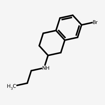 CCCNC1CCc2ccc(Br)cc2C1